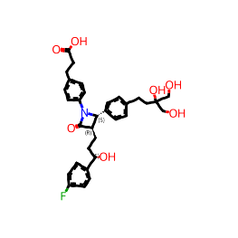 O=C(O)CCc1ccc(N2C(=O)[C@H](CC[C@H](O)c3ccc(F)cc3)[C@H]2c2ccc(CCC(O)(CO)CO)cc2)cc1